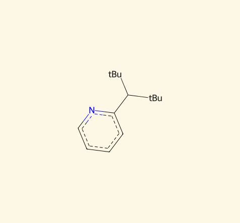 CC(C)(C)C(c1ccccn1)C(C)(C)C